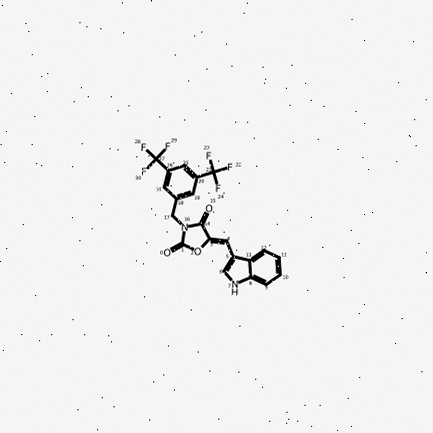 O=C1OC(=Cc2c[nH]c3ccccc23)C(=O)N1Cc1cc(C(F)(F)F)cc(C(F)(F)F)c1